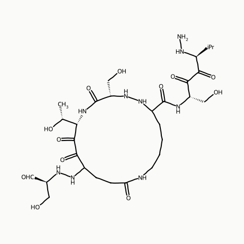 CC(C)[C@H](NN)C(=O)C(=O)[C@H](CO)NC(=O)C1CCCCNC(=O)CCC(NN[C@H](C=O)CO)C(=O)C(=O)[C@H]([C@@H](C)O)NC(=O)[C@H](CO)NN1